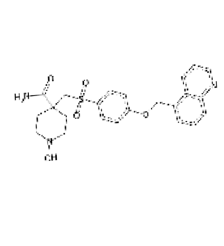 NC(=O)C1(CS(=O)(=O)c2ccc(OCc3cccc4ncccc34)cc2)CCN(O)CC1